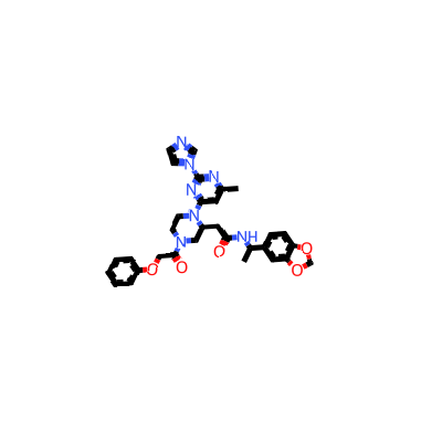 Cc1cc(N2CCN(C(=O)COc3ccccc3)CC2CC(=O)NC(C)c2ccc3c(c2)OCO3)nc(-n2ccnc2)n1